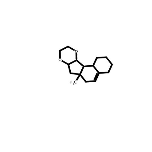 CC12CC=C3CCCCC3C1C1OCCOC1C2